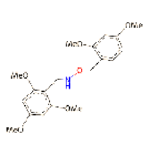 COc1ccc(CONCc2c(OC)cc(OC)cc2OC)c(OC)c1